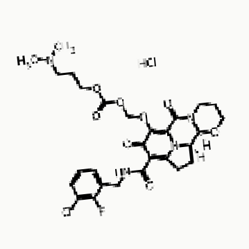 CN(C)CCCOC(=O)OCOc1c2n3c(c(C(=O)NCc4cccc(Cl)c4F)c1=O)CC[C@@H]3[C@@H]1OCCCN1C2=O.Cl